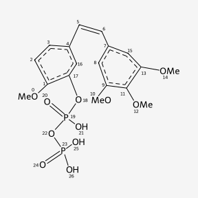 COc1ccc(/C=C\c2cc(OC)c(OC)c(OC)c2)cc1OP(=O)(O)OP(=O)(O)O